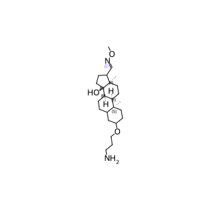 CO/N=C/C1CC[C@@]2(O)[C@@H]3CCC4CC(OCCCN)CC[C@]4(C)[C@@H]3CC[C@]12C